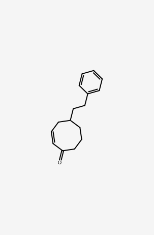 O=C1/C=C\CC(CCc2ccccc2)CCC1